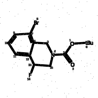 CC(C)(C)OC(=O)N1Cc2c(Br)cccc2C(F)C1